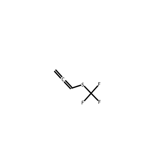 C=C=CSC(F)(F)F